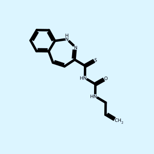 C=CCNC(=O)NC(=S)C1=NNc2ccccc2C=C1